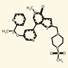 C[C@H](Oc1cncc(-c2cn(C)c(=O)c3cc(CN4CCN(S(C)(=O)=O)CC4)sc23)c1)c1ccccn1